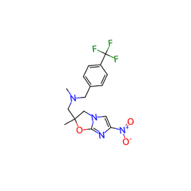 CN(Cc1ccc(C(F)(F)F)cc1)CC1(C)Cn2cc([N+](=O)[O-])nc2O1